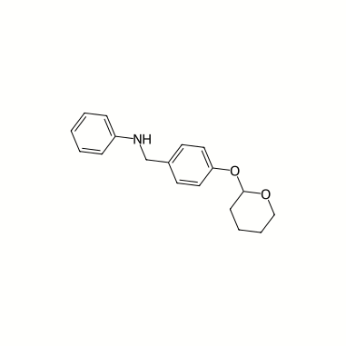 c1ccc(NCc2ccc(OC3CCCCO3)cc2)cc1